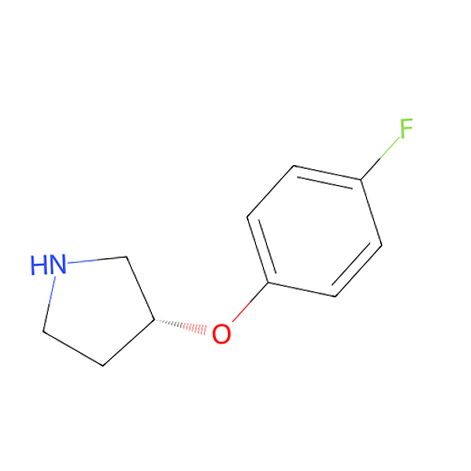 Fc1ccc(O[C@@H]2CCNC2)cc1